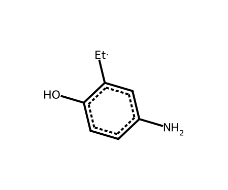 C[CH]c1cc(N)ccc1O